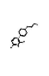 CCCC[C@H]1CC[C@H](c2ccc(F)nc2F)CC1